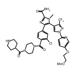 COCCOc1ccc(-n2cc(-c3c(-c4ccc(C(=O)N5CCN(C(=O)C6CCNCC6)CC5)c(Cl)c4)nc(C(N)=O)n3C)c(C(F)(F)F)n2)nc1